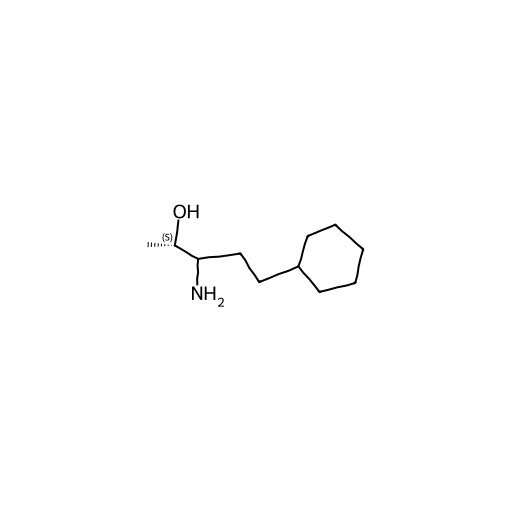 C[C@H](O)C(N)CCC1CCCCC1